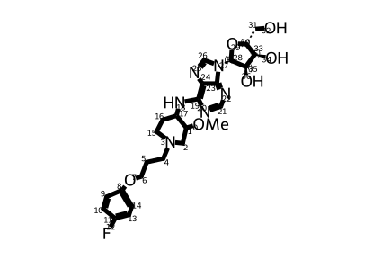 COC1CN(CCCOc2ccc(F)cc2)CCC1Nc1ncnc2c1ncn2[C@@H]1O[C@H](CO)[C@@H](O)[C@H]1O